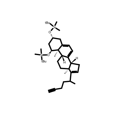 C#CCCC(C)C1=CC[C@H]2C3=CC=C4C[C@@H](O[Si](C)(C)C(C)(C)C)C[C@H](O[Si](C)(C)C(C)(C)C)[C@]4(C)[C@H]3CC[C@]12C